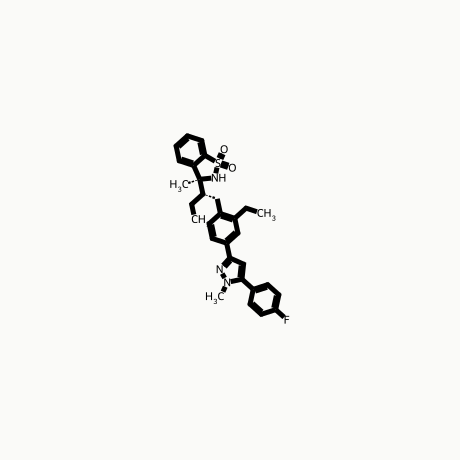 CCc1cc(-c2cc(-c3ccc(F)cc3)n(C)n2)ccc1C[C@H](CC)[C@]1(C)NS(=O)(=O)c2ccccc21